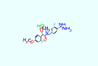 COc1ccc(C(OC)C(=O)NCc2ccc(C(=N)N)c(F)c2)c(F)c1.Cl